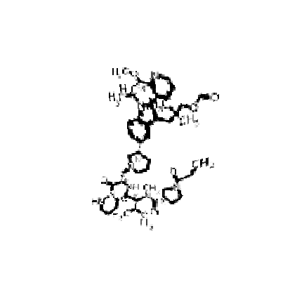 C=CC(=O)N1CC[C@H](C(=O)N(C)[C@H](C(=O)N[C@@H](CN2CCC[C@@H](c3ccc4c(c3)c(CC(C)(C)COC=O)c(-c3cccnc3[C@H](C)OC)n4CC)C2)C(=O)N2CCCCN2)C(C)C)C1